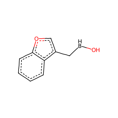 OBCc1coc2ccccc12